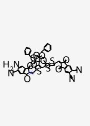 N#Cc1cc2c(cc1N)C(=O)/C(=C\c1cc3c(s1)-c1sc4cc(C=C5C(=O)c6cc(C#N)c(C#N)cc6C5=O)sc4c1OC3(C(=O)OCc1ccccc1)C(=O)OCc1ccccc1)C2=O